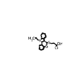 C=CCn1c2c(c3ccccc31)C(SCCC(=O)O)Sc1ccccc1-2